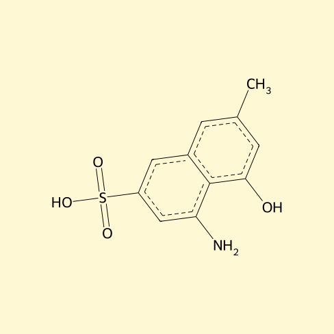 Cc1cc(O)c2c(N)cc(S(=O)(=O)O)cc2c1